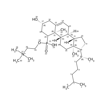 CC(C)CCC[C@@H](C)[C@H]1CC[C@H]2[C@@H]3CC=C4C[C@@H](O)CC(P(=O)(O)OCC[N+](C)(C)C)[C@]4(C)[C@H]3CC[C@]12C